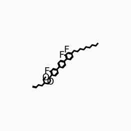 C=CCCC1COC(c2ccc(-c3ccc(-c4ccc(CCCCCCCCC)c(F)c4F)cc3)cc2F)OC1